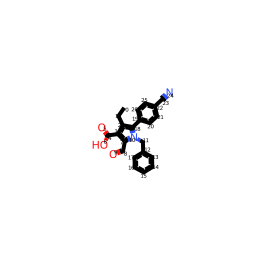 CCc1c(C(=O)O)c(C=O)n(Cc2ccccc2)c1-c1ccc(C#N)cc1